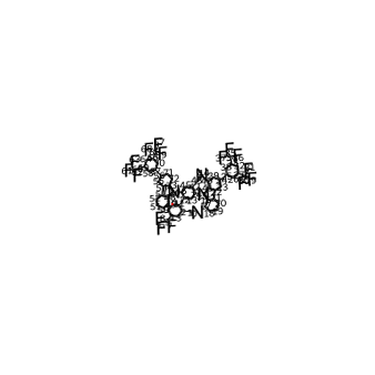 N#Cc1cc(C(F)(F)F)ccc1-c1cc(-n2c3ccccc3c3cc(-c4cc(C(F)(F)F)cc(C(F)(F)F)c4)ccc32)c(C#N)cc1-n1c2ccccc2c2cc(-c3cc(C(F)(F)F)cc(C(F)(F)F)c3)ccc21